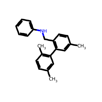 Cc1ccc(C)c(-c2cc(C)ccc2CNc2ccccc2)c1